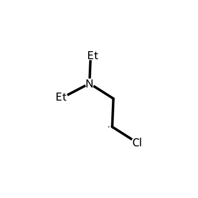 CCN(CC)C[CH]Cl